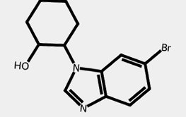 OC1CCCCC1n1cnc2ccc(Br)cc21